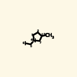 CC1CCN(CI)C1